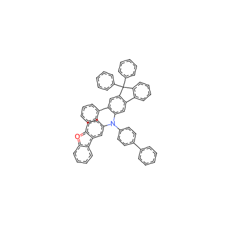 c1ccc(-c2ccc(N(c3ccc4oc5ccccc5c4c3)c3cc4c(cc3-c3ccccc3)C(c3ccccc3)(c3ccccc3)c3ccccc3-4)cc2)cc1